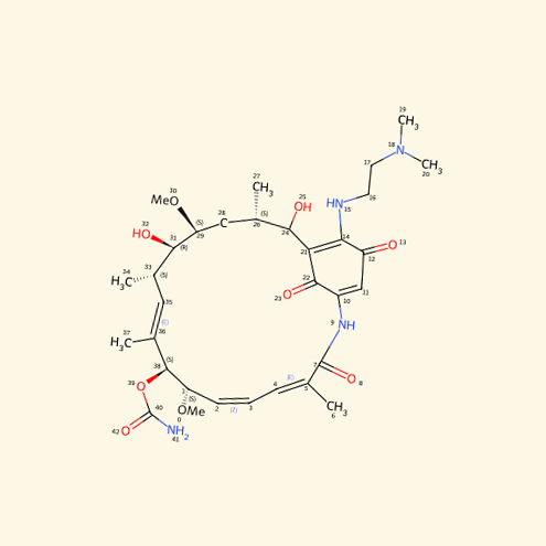 CO[C@H]1/C=C\C=C(/C)C(=O)NC2=CC(=O)C(NCCN(C)C)=C(C2=O)C(O)[C@@H](C)C[C@H](OC)[C@H](O)[C@@H](C)/C=C(\C)[C@@H]1OC(N)=O